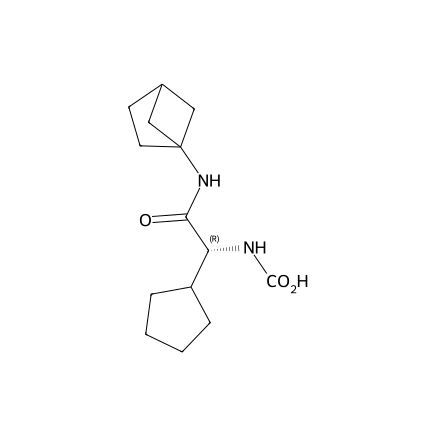 O=C(O)N[C@@H](C(=O)NC12CCC(C1)C2)C1CCCC1